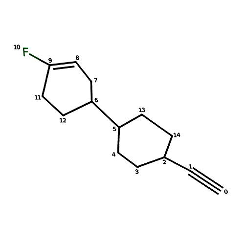 C#CC1CCC(C2CC=C(F)CC2)CC1